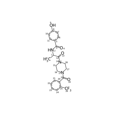 CC(NC(=O)c1ccc(O)cc1)C(=O)N1CCN(C(=O)c2ccccc2C(F)(F)F)CC1